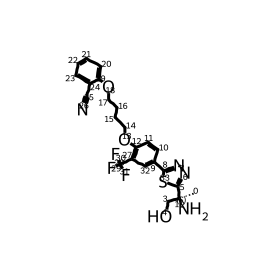 C[C@](N)(CO)c1nnc(-c2ccc(OCCCCOc3ccccc3C#N)c(C(F)(F)F)c2)s1